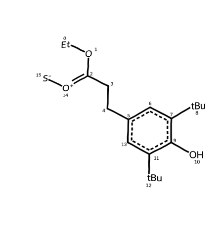 CCOC(CCc1cc(C(C)(C)C)c(O)c(C(C)(C)C)c1)=[O+][S-]